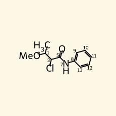 COC(C)C(Cl)C(=O)Nc1ccccc1